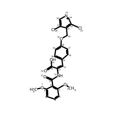 COc1cccc(OC)c1C(=O)N/C(=C/c1ccc(OCc2c(Cl)cncc2Cl)cc1)C(=O)O